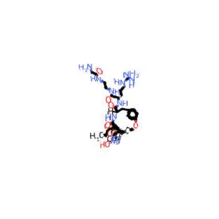 CC(C)C[C@H]1C(=O)N[C@H](C(=O)N[C@@H](CCCNC(=N)N)C(=O)NCCNC(=O)CN)Cc2ccc(cc2)OCCC[C@@H]1C(=O)NO